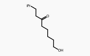 CC(C)CCC(=O)CCCCCO